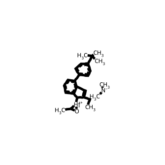 CCC1=Cc2c(-c3ccc(C(C)(C)C)cc3)cccc2[CH]1[Hf+]1[O][CH]1C.C[N-]C